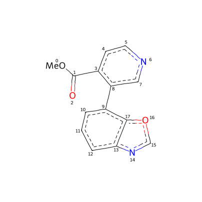 COC(=O)c1ccncc1-c1cccc2ncoc12